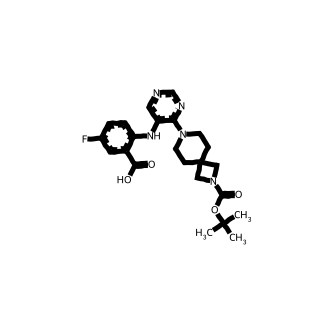 CC(C)(C)OC(=O)N1CC2(CCN(c3ncncc3Nc3ccc(F)cc3C(=O)O)CC2)C1